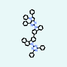 c1ccc(-c2nc(-c3ccccc3)nc(-n3c4ccc(-c5ccc6c(c5)c5ccccc5n6-c5nc(-c6ccccc6)c6c(cc(-c7ccccc7)n6-c6ccccc6)n5)cc4c4c5ccccc5ccc43)n2)cc1